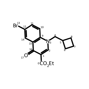 CCOC(=O)c1cn(CC2CCC2)c2ccc(Br)cc2c1=O